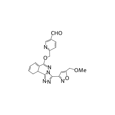 COCc1cc(-c2nnc3n2N=C(OCc2ccc(C=O)cn2)C2=CC=CCC23)no1